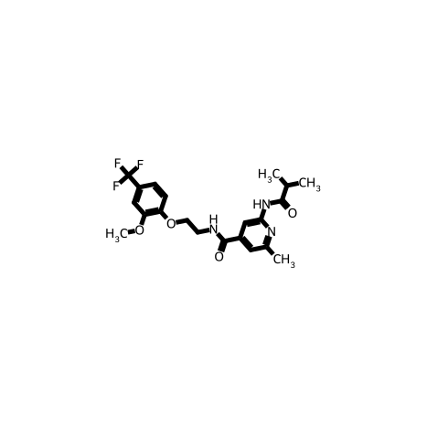 COc1cc(C(F)(F)F)ccc1OCCNC(=O)c1cc(C)nc(NC(=O)C(C)C)c1